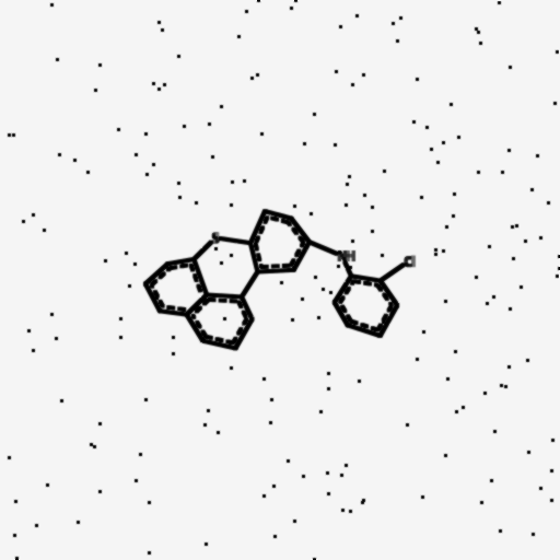 Clc1ccccc1Nc1ccc2c(c1)-c1cccc3cccc(c13)S2